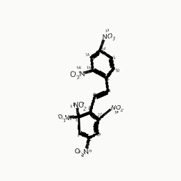 O=[N+]([O-])C1=CC([N+](=O)[O-])([N+](=O)[O-])C(C=Cc2ccc([N+](=O)[O-])cc2[N+](=O)[O-])C([N+](=O)[O-])=C1